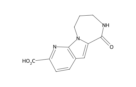 O=C(O)c1ccc2cc3n(c2n1)CCCNC3=O